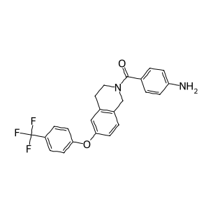 Nc1ccc(C(=O)N2CCc3cc(Oc4ccc(C(F)(F)F)cc4)ccc3C2)cc1